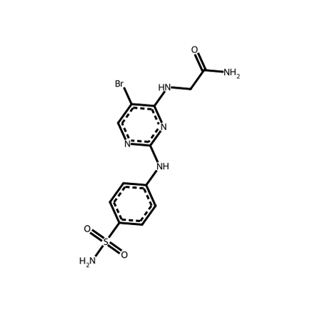 NC(=O)CNc1nc(Nc2ccc(S(N)(=O)=O)cc2)ncc1Br